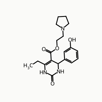 CCC1=C(C(=O)OCCN2CCCC2)C(c2cccc(O)c2)NC(=O)N1